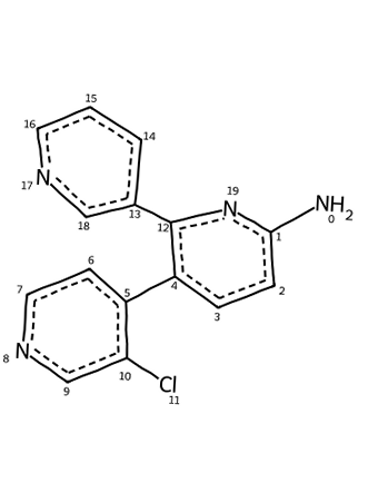 Nc1ccc(-c2ccncc2Cl)c(-c2cccnc2)n1